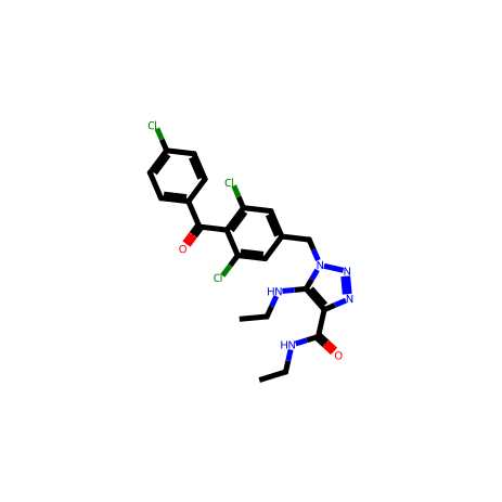 CCNC(=O)c1nnn(Cc2cc(Cl)c(C(=O)c3ccc(Cl)cc3)c(Cl)c2)c1NCC